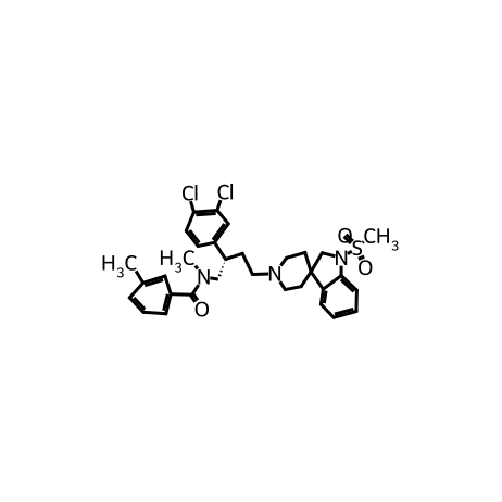 Cc1cccc(C(=O)N(C)C[C@@H](CCN2CCC3(CC2)CN(S(C)(=O)=O)c2ccccc23)c2ccc(Cl)c(Cl)c2)c1